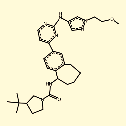 COCCn1cc(Nc2nccc(-c3ccc4c(c3)CCCCC4NC(=O)N3CCC(C(C)(C)C)C3)n2)cn1